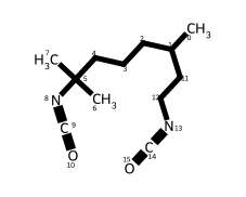 CC(CCCC(C)(C)N=C=O)CCN=C=O